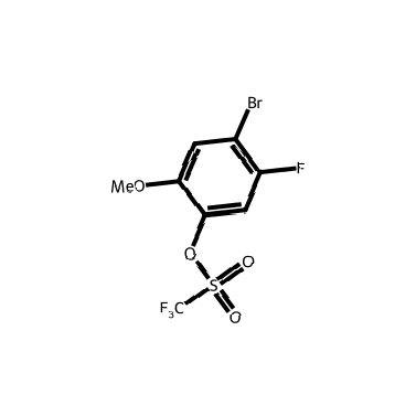 COc1cc(Br)c(F)cc1OS(=O)(=O)C(F)(F)F